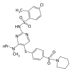 CCCN(C)c1nc(NS(=O)(=O)c2ccc(Cl)cc2C)ncc1Sc1ccc(S(=O)(=O)N2CCCCC2)cc1